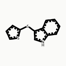 c1csc(Sc2c[nH]c3ccccc23)c1